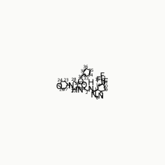 O=C(CNc1ncnc2ccc(C(F)(F)F)cc12)NC1CN(C2CCOCC2)C[C@@H]1OCc1ccccc1